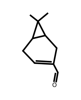 CC1(C)C2CC=C(C=O)CC21